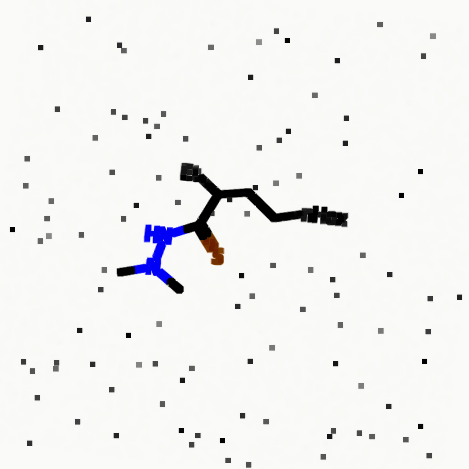 CCCCCCCCC(CC)C(=S)NN(C)C